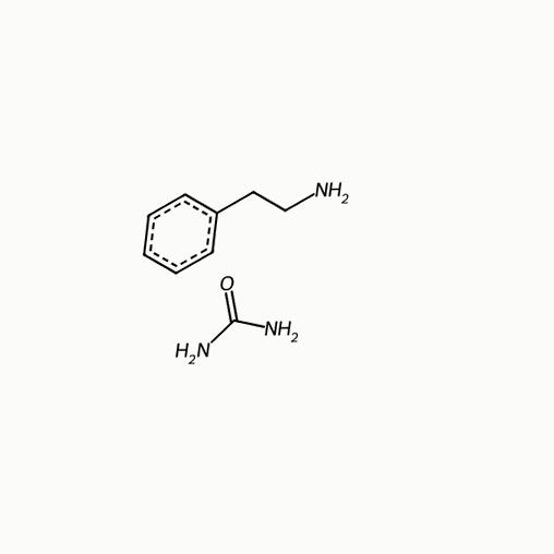 NC(N)=O.NCCc1ccccc1